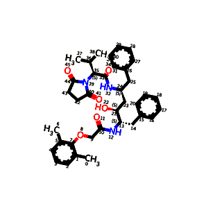 Cc1cccc(C)c1OCC(=O)N[C@@H](Cc1ccccc1)[C@@H](O)C[C@H](Cc1ccccc1)NC(=O)[C@H](C(C)C)N1C(=O)CCC1=O